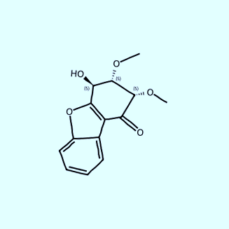 CO[C@@H]1[C@H](OC)C(=O)c2c(oc3ccccc23)[C@H]1O